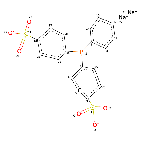 O=S(=O)([O-])c1ccc(P(c2ccccc2)c2ccc(S(=O)(=O)[O-])cc2)cc1.[Na+].[Na+]